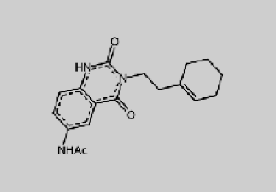 CC(=O)Nc1ccc2[nH]c(=O)n(CCC3=CCCCC3)c(=O)c2c1